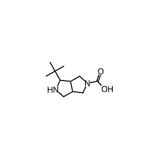 CC(C)(C)C1NCC2CN(C(=O)O)CC21